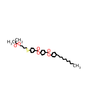 C=C(C)C(=O)OCCCCSc1ccc(C(=O)Oc2ccc(C(=O)Oc3ccc(CCCCCCCCCC)cc3)cc2)cc1